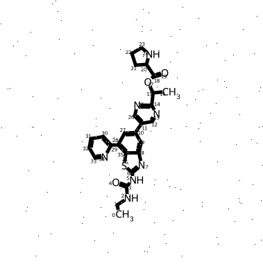 CCNC(=O)Nc1nc2cc(-c3cnc(C(C)OC(=O)C4CCCN4)nc3)cc(-c3ccccn3)c2s1